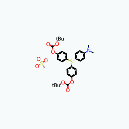 CN(C)c1ccc([S+](c2ccc(OC(=O)OC(C)(C)C)cc2)c2ccc(OC(=O)OC(C)(C)C)cc2)cc1.CS(=O)(=O)[O-]